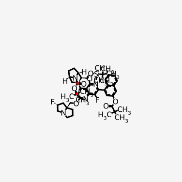 CC(C)(C)OC(=O)N1[C@@H]2CC[C@H]1[C@@H](CO[Si](C)(C)C(C)(C)C)N(c1nc(OC[C@@]34CCCN3C[C@H](F)C4)nc3c(F)c(-c4cc(OC(=O)C(C)(C)C)cc5ccccc45)nc(Cl)c13)C2